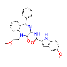 COCCN1C(=O)C(NC(=O)c2cc3cc(OC)ccc3[nH]2)N=C(c2ccccc2)c2ccccc21